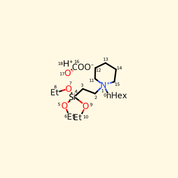 CCCCCC[N+]1(CC[Si](OCC)(OCC)OCC)CCCCC1.O=C([O-])[O-].[H+]